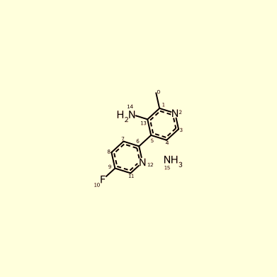 Cc1nccc(-c2ccc(F)cn2)c1N.N